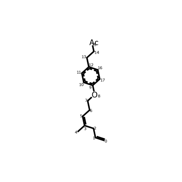 C=CCC(C)=CCCOc1ccc(CCC(C)=O)cc1